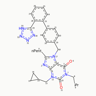 CCCCCc1nc2c(c(=O)n(CC(C)C)c(=O)n2CC2CC2)n1Cc1ccc(-c2ccccc2-c2nnn[nH]2)cc1